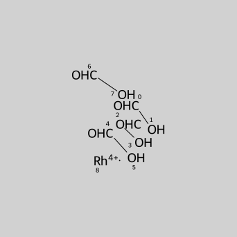 O=[C-]O.O=[C-]O.O=[C-]O.O=[C-]O.[Rh+4]